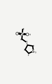 C1CCSC1.CCS(C)(=O)=O